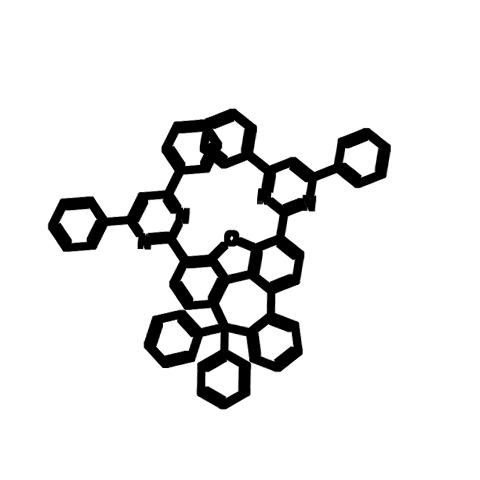 c1ccc(-c2cc(-c3ccccc3)nc(-c3ccc4c5c3oc3c(-c6nc(-c7ccccc7)cc(-c7ccccc7)n6)ccc(c35)C(c3ccccc3)(c3ccccc3)c3ccccc3-4)n2)cc1